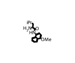 COc1ccc(NC(=O)[C@@H](N)CC(C)C)c2ccccc12